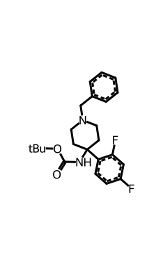 CC(C)(C)OC(=O)NC1(c2ccc(F)cc2F)CCN(Cc2ccccc2)CC1